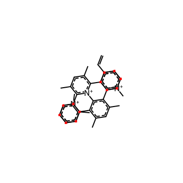 C=Cc1ccccc1-c1c(C)cc(C)c(-c2ccccc2C)[n+]1-c1c(-c2cccc[n+]2C)c(C)cc(C)c1-c1cccc[n+]1C